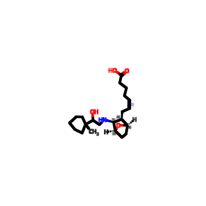 CC1(C(O)CN[C@H]2[C@@H](C/C=C\CCCC(=O)O)[C@H]3CC[C@@H]2O3)CCCCC1